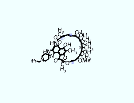 CO[C@H]1/C=C/O[C@@]2(C)Oc3c(C)c(O)c4c(c3C2=O)C2=NC3(CCN(CC(C)C)CC3)NC2=C(NC(=O)/C(C)=C\C=C\[C@H](C)[C@H](O)[C@@H](C)[C@@H](O)[C@@H](C)[C@H](O)[C@@H]1C)C4=O